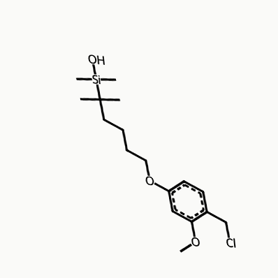 COc1cc(OCCCCC(C)(C)[Si](C)(C)O)ccc1CCl